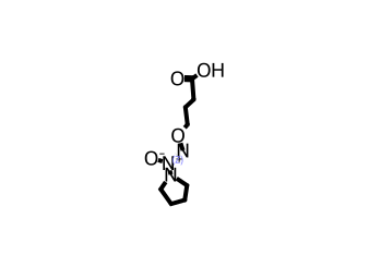 O=C(O)CCCO/N=[N+](\[O-])N1CCCC1